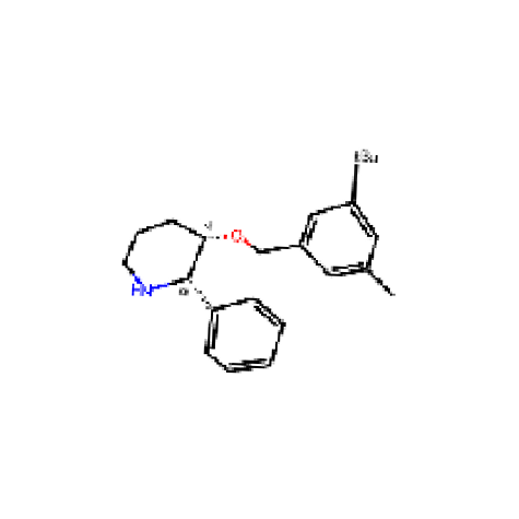 Cc1cc(CO[C@H]2CCCN[C@H]2c2ccccc2)cc(C(C)(C)C)c1